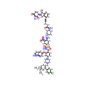 CC1(C)CCC(CN2CCN(c3ccc(C(=O)NS(=O)(=O)c4ccc(NC[C@H]5CC[C@H](NC(=O)CCC#Cc6cccc7c6CN(C6CCC(=O)NC6=O)C7=O)CC5)c([N+](=O)[O-])c4)c(Oc4cnc5[nH]ccc5c4)c3)CC2)=C(c2ccc(Cl)cc2)C1